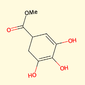 COC(=O)C1C=C(O)C(O)=C(O)C1